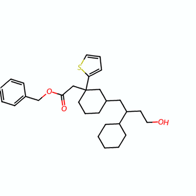 O=C(CC1(c2cccs2)CCCC(CC(CCO)C2CCCCC2)C1)OCc1ccccc1